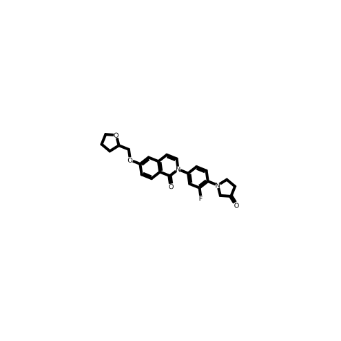 O=C1CCN(c2ccc(-n3ccc4cc(OCC5CCCO5)ccc4c3=O)cc2F)C1